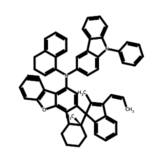 C/C=C\C1=C(C)C2(c3ccccc31)c1cc(N(C3=CCCc4ccccc43)c3ccc4c(c3)c3ccccc3n4-c3ccccc3)c3c(oc4ccc#cc43)c1C1CCCC[C@]12C